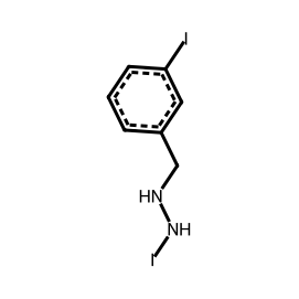 INNCc1cccc(I)c1